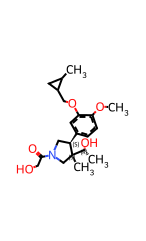 COc1ccc([C@@H]2CN(C(=O)CO)C[C@@]2(C)[C@@H](C)O)cc1OCC1CC1C